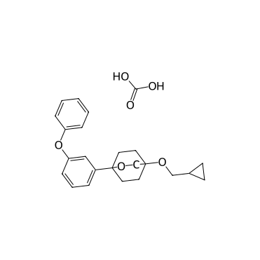 O=C(O)O.c1ccc(Oc2cccc(C34CCC(OCC5CC5)(CC3)CO4)c2)cc1